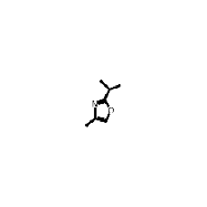 Cc1coc(C(C)C)n1